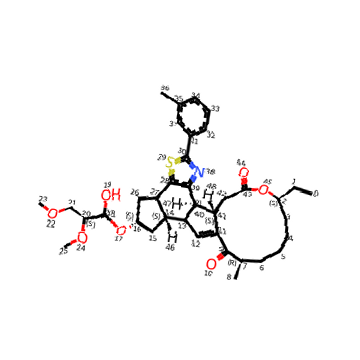 CC[C@H]1CCCC[C@@H](C)C(=O)C2=CC3[C@@H]4C[C@H](OC(O)[C@H](COC)OC)CC4c4sc(-c5cccc(C)c5)nc4[C@H]3[C@@H]2CC(=O)O1